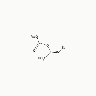 CC/C=C(\OC(=O)OC)C(=O)O